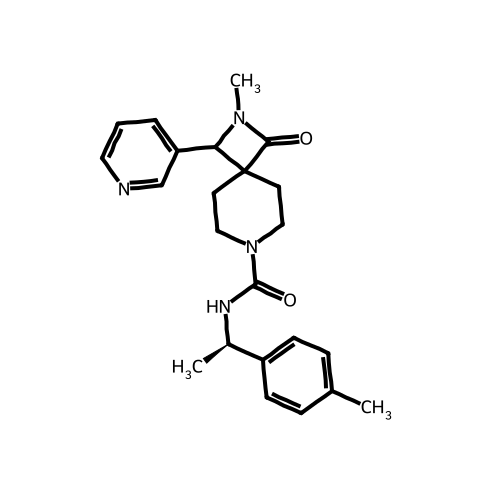 Cc1ccc([C@@H](C)NC(=O)N2CCC3(CC2)C(=O)N(C)C3c2cccnc2)cc1